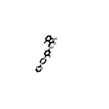 Cc1cccc2c1C(=CNc1ccc(N3CCN(c4ncccn4)CC3)c(F)c1)C(=O)N2